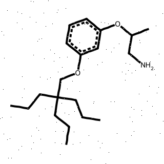 CCCC(CCC)(CCC)COc1cccc(OC(C)CN)c1